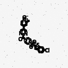 Cc1cc(-c2cnc(C(=O)N3CCN(S(=O)(=O)c4cc5ccc(Cl)cc5s4)CC3)nc2)cc[n+]1[O-]